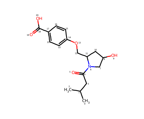 CC(C)CC(=O)N1CC(O)CC1COc1ccc(C(=O)O)cc1